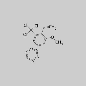 C=Cc1c(OC)cccc1C(Cl)(Cl)Cl.c1cnnnc1